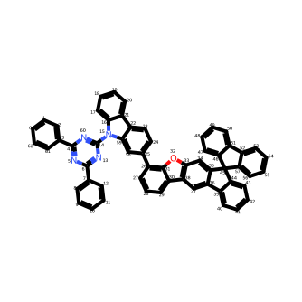 c1ccc(-c2nc(-c3ccccc3)nc(-n3c4ccccc4c4ccc(-c5cccc6c5oc5cc7c(cc56)-c5ccccc5C75c6ccccc6-c6ccccc65)cc43)n2)cc1